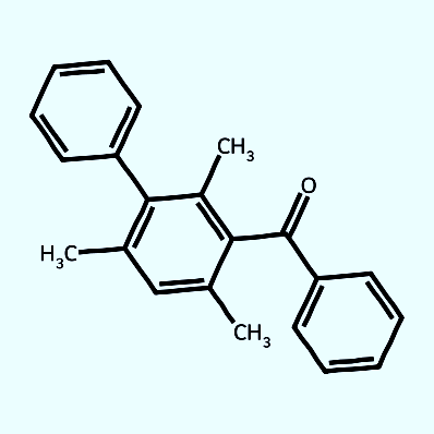 Cc1cc(C)c(-c2ccccc2)c(C)c1C(=O)c1ccccc1